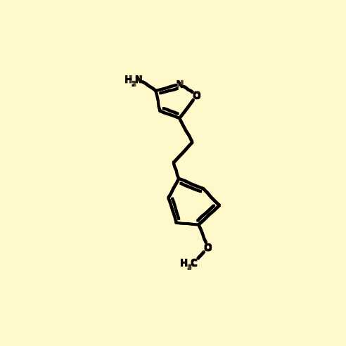 COc1ccc(CCc2cc(N)no2)cc1